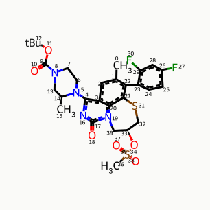 Cc1cc2c(N3CCN(C(=O)OC(C)(C)C)C[C@@H]3C)nc(=O)n3c2c(c1-c1ccc(F)cc1F)SC[C@@H](OS(C)(=O)=O)C3